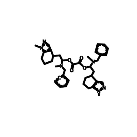 CN(Cc1ccccc1)C(CC1CCCc2c1cnn2C)OC(=O)C(=O)OC(CC1CCCc2c1cnn2C)N(C)Cc1ccccc1